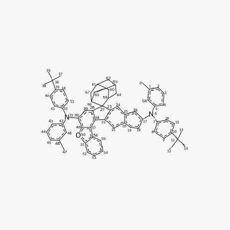 Cc1cccc(N(c2ccc(C(C)(C)C)cc2)c2ccc3cc4c(cc3c2)C2(c3cc(N(c5ccc(C(C)(C)C)cc5)c5cccc(C)c5)c5oc6ccccc6c5c3-4)C3CC4CC(C3)CC2C4)c1